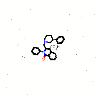 O=C(O)c1c(CN2CCC[C@@H](c3ccccc3)C2)n(-c2ccccc2)c(=O)c2ccccc12